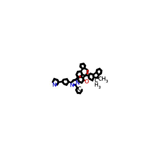 CC1(C)c2ccccc2-c2cc3c(cc21)Oc1ccccc1C31c2ccccc2-c2ccccc2-c2ccc(-c3cc(-c4ccc(-c5cccnc5)cc4)nc(-c4ccccc4)n3)cc21